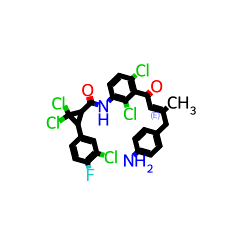 C/C(=C\C(=O)c1c(Cl)ccc(NC(=O)C2C(c3ccc(F)c(Cl)c3)C2(Cl)Cl)c1Cl)Cc1ccc(N)cc1